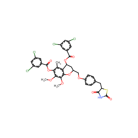 COc1c(OC(=O)c2cc(Cl)cc(Cl)c2)c(C)c2c(c1OC)OC(COc1ccc(CC3SC(=O)NC3=O)cc1)CC2OC(=O)c1cc(Cl)cc(Cl)c1